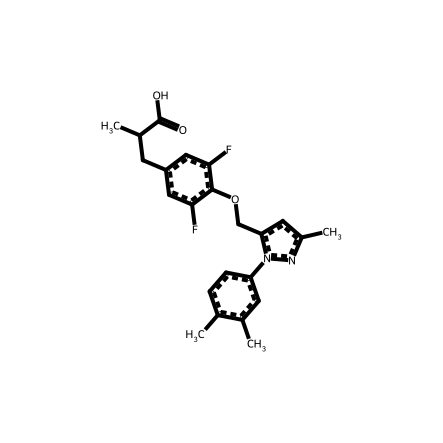 Cc1cc(COc2c(F)cc(CC(C)C(=O)O)cc2F)n(-c2ccc(C)c(C)c2)n1